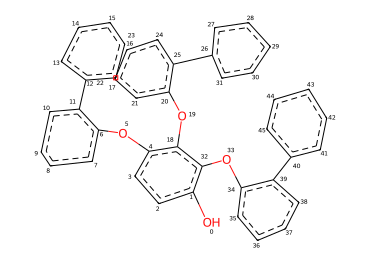 Oc1ccc(Oc2ccccc2-c2ccccc2)c(Oc2ccccc2-c2ccccc2)c1Oc1ccccc1-c1ccccc1